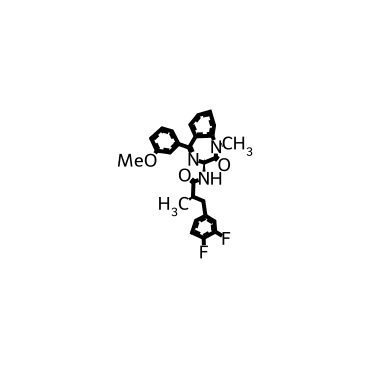 COc1cccc(C2=N[C@H](NC(=O)[C@H](C)Cc3ccc(F)c(F)c3)C(=O)N(C)c3ccccc32)c1